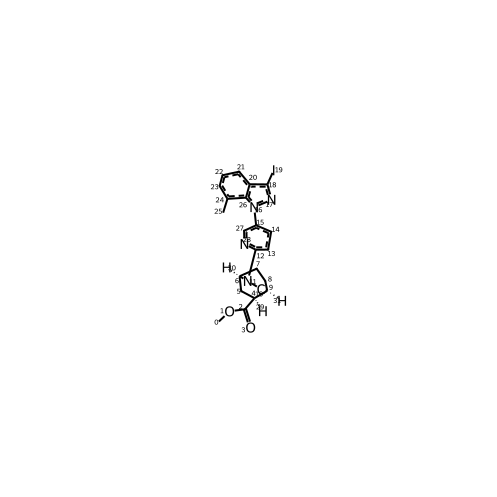 COC(=O)[C@H]1C[C@H]2CC[C@@H]1CN2c1ccc(-n2nc(I)c3cccc(C)c32)cn1